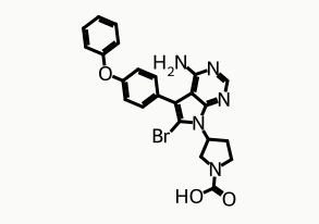 Nc1ncnc2c1c(-c1ccc(Oc3ccccc3)cc1)c(Br)n2C1CCN(C(=O)O)C1